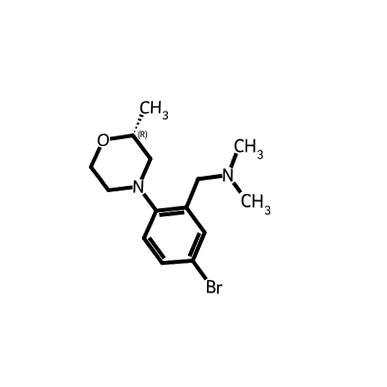 C[C@@H]1CN(c2ccc(Br)cc2CN(C)C)CCO1